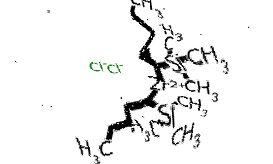 C/C=C/C=[C](/[Zr+2]/[C](=C/C=C/C)[Si](C)(C)C)[Si](C)(C)C.[Cl-].[Cl-]